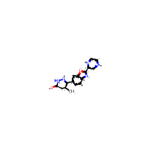 CC1CC(=O)NN=C1c1ccc2nc(-c3cnccn3)oc2c1